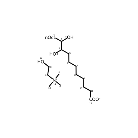 CCCCCCCCC(O)C(O)CCCCCCCC(=O)[O-].C[N+](C)(C)CCO